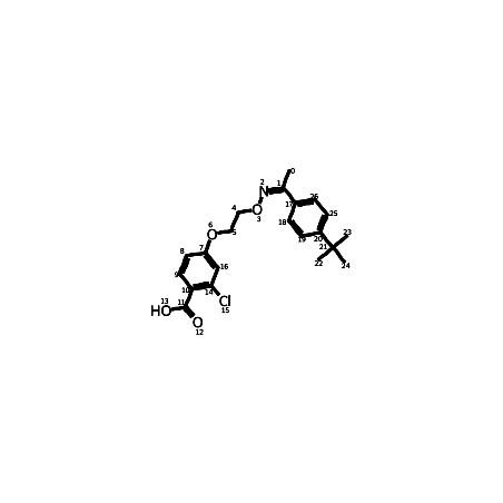 CC(=NOCCOc1ccc(C(=O)O)c(Cl)c1)c1ccc(C(C)(C)C)cc1